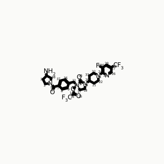 NC1CCN(C(=O)c2ccc(C[N+]3(OC(=O)C(F)(F)F)CCN(C4CCN(c5ncc(C(F)(F)F)cc5F)CC4)C3=O)cc2)C1